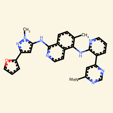 CNc1cc(-c2cccnc2Nc2c(C)ccc3c(Nc4cc(-c5ccco5)nn4C)nccc23)ncn1